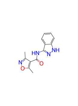 Cc1noc(C)c1C(=O)Nc1n[nH]c2ccccc12